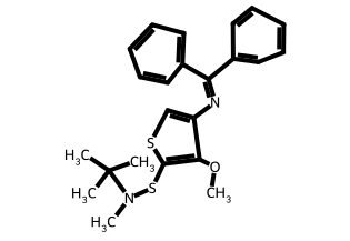 COc1c(N=C(c2ccccc2)c2ccccc2)csc1SN(C)C(C)(C)C